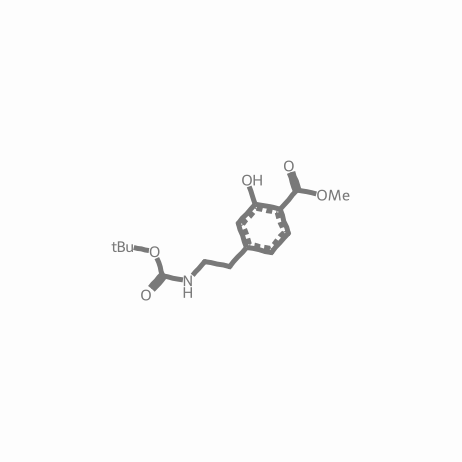 COC(=O)c1ccc(CCNC(=O)OC(C)(C)C)cc1O